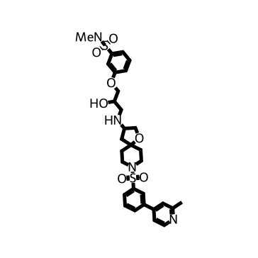 CNS(=O)(=O)c1cccc(OCC(O)CNC2COC3(CCN(S(=O)(=O)c4cccc(-c5ccnc(C)c5)c4)CC3)C2)c1